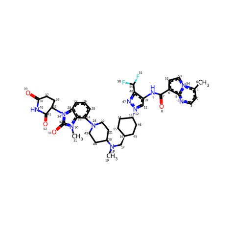 Cc1ccnc2c(C(=O)Nc3cn([C@H]4CC[C@H](CN(C)C5CCN(c6cccc7c6n(C)c(=O)n7C6CCC(=O)NC6=O)CC5)CC4)nc3C(F)F)ccn12